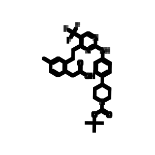 Cc1ccc(CC(=O)O)c(CCc2nc(Nc3ccc(C4CCN(C(=O)OC(C)(C)C)CC4)cc3)ncc2C(F)(F)F)c1